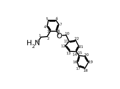 NCCc1ccccc1OCc1ccc(-c2ccccc2)cc1